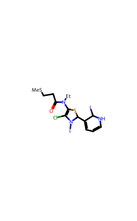 CCN(C(=O)CCSC)C1=C(Cl)N(I)C(C2=CC=CNC2I)S1